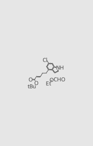 CC(C)(C)OC(=O)C=CCCc1cc(Cl)cc2[nH]ccc12.CCOC=O